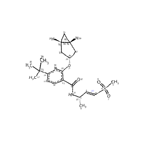 C[C@@H](/C=C/S(C)(=O)=O)NC(=O)c1cnc(C(C)(C)C)nc1O[C@@H]1C[C@@H]2C[C@@H]2C1